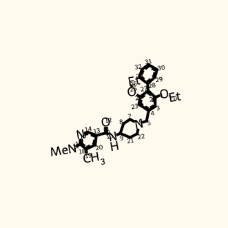 CCOc1cc(CN2CCC(NC(=O)c3cnc(NC)c(C)c3)CC2)cc(OCC)c1-c1ccccc1